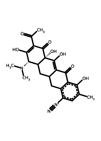 CC(=O)C1=C(O)[C@@H](N(C)C)C2CC3Cc4c([N+]#N)cc(C)c(O)c4C(=O)C3=C(O)[C@]2(O)C1=O